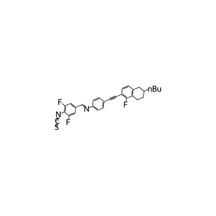 CCCCC1CCc2c(ccc(C#Cc3ccc(N=Cc4cc(F)c(N=C=S)c(F)c4)cc3)c2F)C1